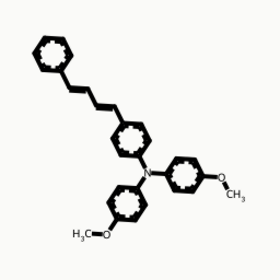 COc1ccc(N(c2ccc(/C=C/C=C/c3ccccc3)cc2)c2ccc(OC)cc2)cc1